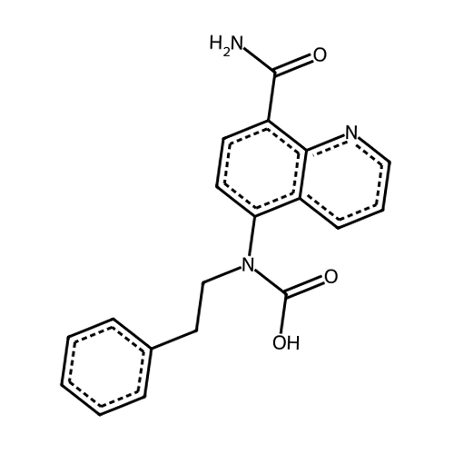 NC(=O)c1ccc(N(CCc2ccccc2)C(=O)O)c2cccnc12